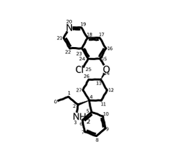 CCC(N)[C@]1(c2ccccc2)CC[C@H](Oc2ccc3cnccc3c2Cl)CC1